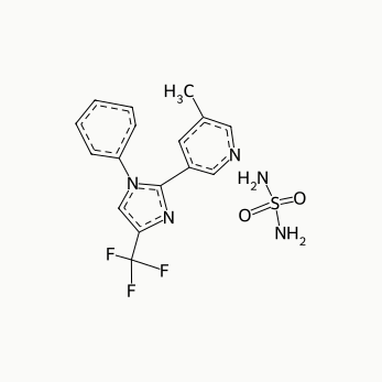 Cc1cncc(-c2nc(C(F)(F)F)cn2-c2ccccc2)c1.NS(N)(=O)=O